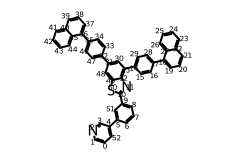 c1cncc(-c2cccc(-c3nc4c(-c5ccc(-c6cccc7ccccc67)cc5)cc(-c5ccc(-c6cccc7ccccc67)cc5)cc4s3)c2)c1